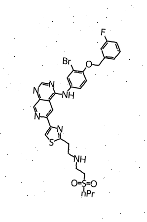 CCCS(=O)(=O)CCNCCc1nc(-c2cc3c(Nc4ccc(OCc5cccc(F)c5)c(Br)c4)ncnc3cn2)cs1